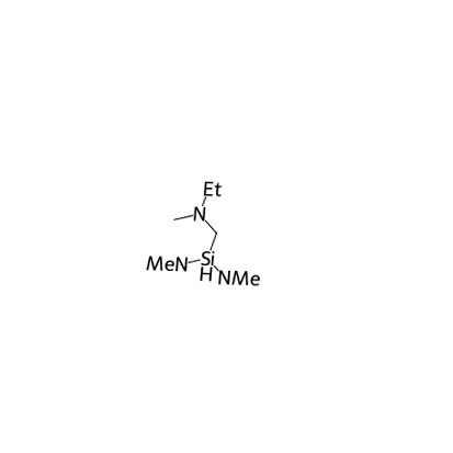 CCN(C)C[SiH](NC)NC